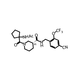 CC(=O)NC1(C(=O)N2CCC[C@@H](C(=O)NCc3ccc(C#N)cc3OC(F)(F)F)C2)CCCC1